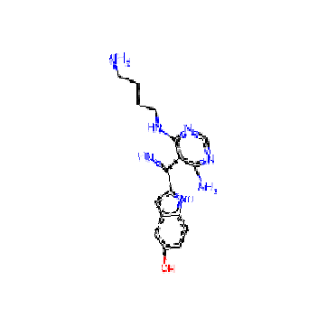 N=C(c1cc2cc(O)ccc2[nH]1)c1c(N)ncnc1NCCCCN